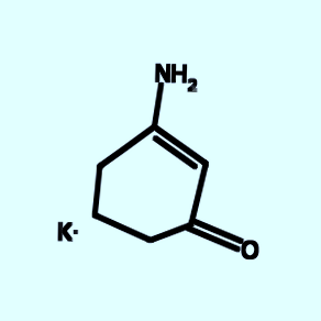 NC1=CC(=O)CCC1.[K]